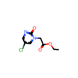 CCOC(=O)Cn1cc(Cl)cnc1=O